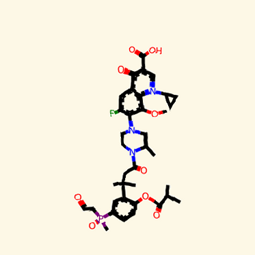 COc1c(N2CCN(C(=O)CC(C)(C)c3cc(P(C)(=O)CC=O)ccc3OC(=O)C(C)C)C(C)C2)c(F)cc2c(=O)c(C(=O)O)cn(C3CC3)c12